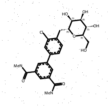 CNC(=O)c1cc(C(=O)NC)cc(-c2ccc(C[C@H]3O[C@H](CO)[C@@H](O)[C@H](O)[C@@H]3O)c(Cl)c2)c1